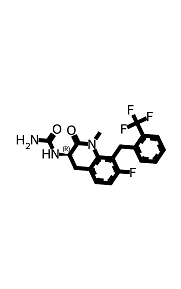 CN1C(=O)[C@H](NC(N)=O)Cc2ccc(F)c(Cc3ccccc3C(F)(F)F)c21